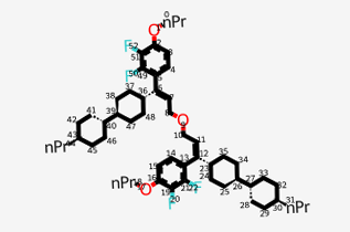 CCCOc1ccc(C(=CCOCC=C(c2ccc(OCCC)c(F)c2F)[C@H]2CC[C@H]([C@H]3CC[C@H](CCC)CC3)CC2)[C@H]2CC[C@H]([C@H]3CC[C@H](CCC)CC3)CC2)c(F)c1F